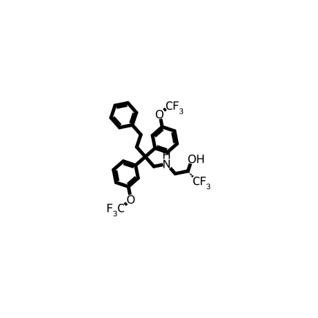 O[C@@H](CNCC(CCc1ccccc1)(c1cccc(OC(F)(F)F)c1)c1cccc(OC(F)(F)F)c1)C(F)(F)F